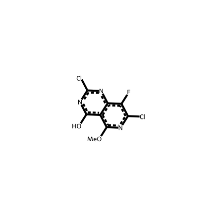 COc1nc(Cl)c(F)c2nc(Cl)nc(O)c12